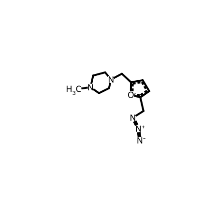 CN1CCN(Cc2ccc(CN=[N+]=[N-])o2)CC1